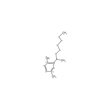 CCCCCCC(C)c1cc(C)ccc1O